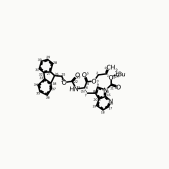 C=CCOC(=O)[C@H](Cc1cn(C(=O)OC(C)(C)C)c2ncccc12)NC(=O)OCC1c2ccccc2-c2ccccc21